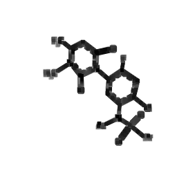 CC(=O)N(c1cc(-n2c(=O)cc(C(F)(F)F)n(C)c2=O)c(F)cc1Cl)S(=O)(=O)C(C)C